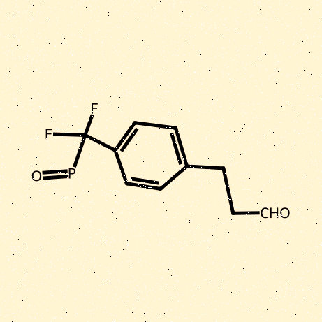 O=CCCc1ccc(C(F)(F)P=O)cc1